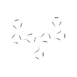 c1ccc(-n2c3cc4c5cccc6c7ccccc7n(c4cc3c3cc4c(cc32)c2cccc3c7ccccc7n4c32)c65)cc1